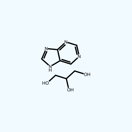 OCC(O)CO.c1ncc2[nH]cnc2n1